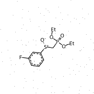 CCOP(=O)(C[S@@+]([O-])c1cccc(F)c1)OCC